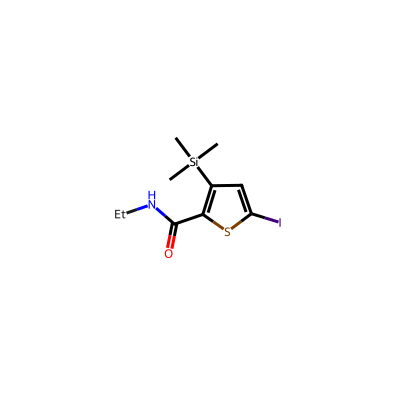 CCNC(=O)c1sc(I)cc1[Si](C)(C)C